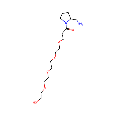 NCC1CCCN1C(=O)CCOCCOCCOCCOCCO